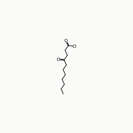 CCCCCCCC(=O)CCC(=O)Cl